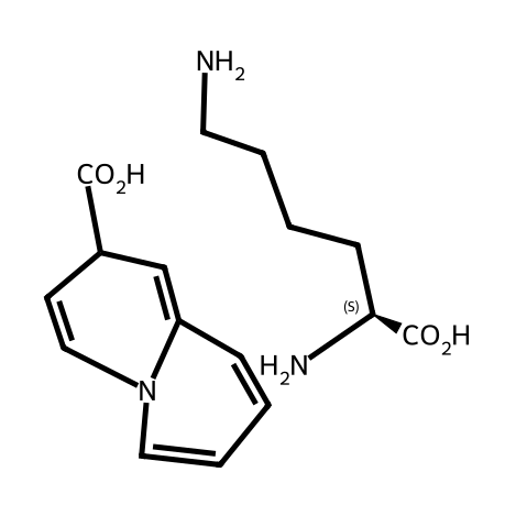 NCCCC[C@H](N)C(=O)O.O=C(O)C1C=CN2C=CC=CC2=C1